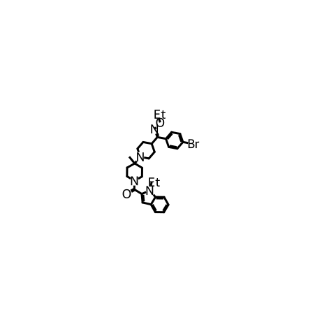 CCON=C(c1ccc(Br)cc1)C1CCN(C2(C)CCN(C(=O)c3cc4ccccc4n3CC)CC2)CC1